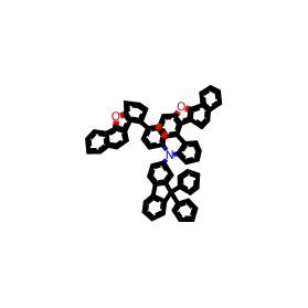 c1ccc(C2(c3ccccc3)c3ccccc3-c3ccc(N(c4ccc(-c5cccc6oc7c8ccccc8ccc7c56)cc4)c4ccccc4-c4cccc5oc6c7ccccc7ccc6c45)cc32)cc1